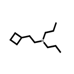 CCCN(CCC)CCC1CCC1